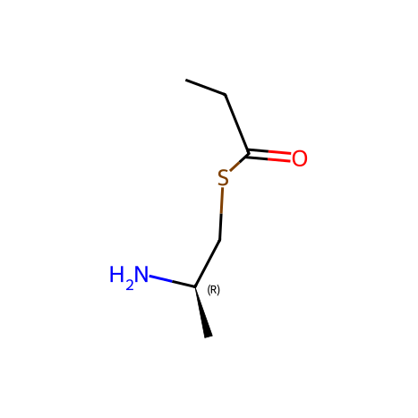 CCC(=O)SC[C@@H](C)N